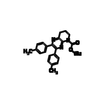 Cc1ccc(-c2nc3c(nc2-c2ccc(C)cc2)N(C(=O)OC(C)(C)C)CCC3)cc1